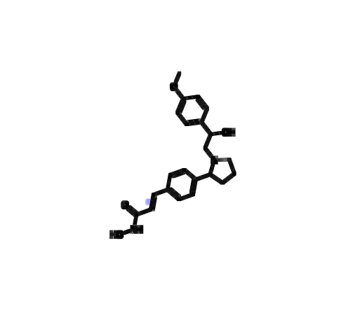 COc1ccc(C(O)CN2CCCC2c2ccc(/C=C/C(=O)NO)cc2)cc1